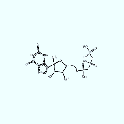 C[C@@]1(n2cnc3c(=O)[nH]c(=O)[nH]c32)O[C@H](COP(=O)(O)OP(=O)(O)OP(=O)(O)O)[C@@H](O)[C@H]1O